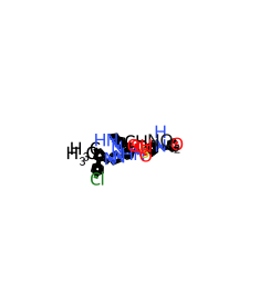 CC1(C)CCC(CN2CCN(c3ccc(C(=O)NS(=O)(=O)c4ccc(NCC5CCOCC5)c([N+](=O)[O-])c4)c([C@@](C)(O)c4cnc5[nH]ccc5c4)c3)CC2)=C(c2ccc(Cl)cc2)C1